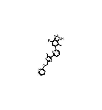 Cc1nc(COc2ncccn2)sc1-c1cccc(-c2cc(F)c3nn[nH]c3c2C)n1